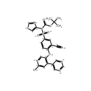 CC(C)(C)OC(=O)N(c1cscn1)S(=O)(=O)c1ccc(Oc2cnc(Cl)cc2-c2cncnc2)c(C#N)c1